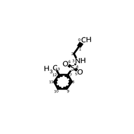 C#CCNS(=O)(=O)c1ccccc1C